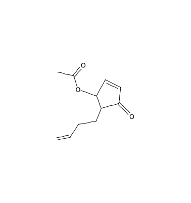 C=CCCC1C(=O)C=CC1OC(C)=O